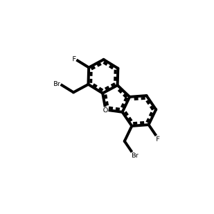 Fc1ccc2c(oc3c(CBr)c(F)ccc32)c1CBr